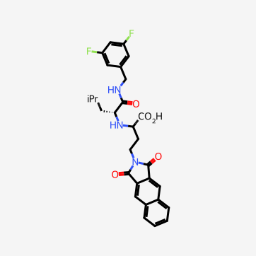 CC(C)C[C@@H](NC(CCN1C(=O)c2cc3ccccc3cc2C1=O)C(=O)O)C(=O)NCc1cc(F)cc(F)c1